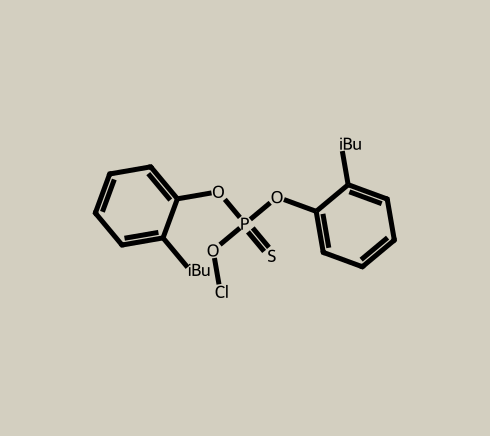 CCC(C)c1ccccc1OP(=S)(OCl)Oc1ccccc1C(C)CC